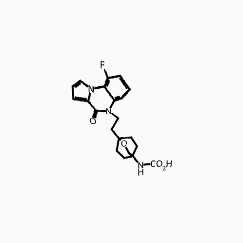 O=C(O)NC12CCC(CCn3c(=O)c4cccn4c4c(F)cccc43)(CC1)OC2